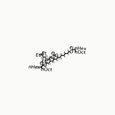 CCCCCCCCC(CCCCCC)C(=O)OCCCCCCC(CCCCCCOC(=O)C(CCCCCC)CCCCCCCC)OC(=O)OCCN(CC)CCN(CC)CC